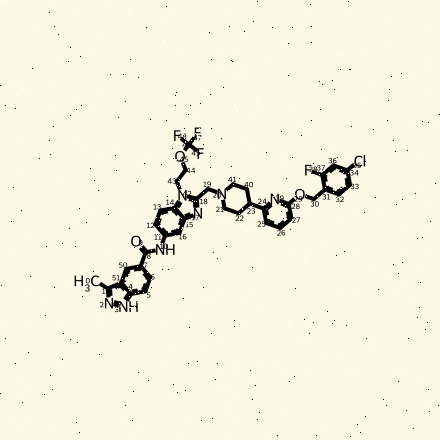 Cc1n[nH]c2ccc(C(=O)Nc3ccc4c(c3)nc(CN3CCC(c5cccc(OCc6ccc(Cl)cc6F)n5)CC3)n4CCOC(F)(F)F)cc12